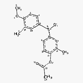 COc1ccc([S+]([O-])c2ccc(OC(C)=O)c(C)c2)cc1C